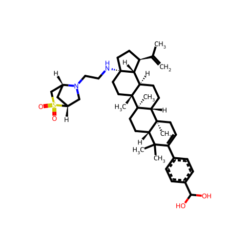 C=C(C)[C@@H]1CC[C@]2(NCCN3C[C@H]4C[C@@H]3CS4(=O)=O)CC[C@]3(C)[C@H](CC[C@@H]4[C@@]5(C)CC=C(c6ccc(C(O)O)cc6)C(C)(C)[C@@H]5CC[C@]43C)[C@@H]12